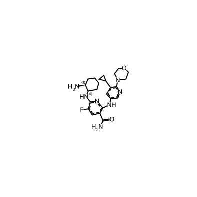 NC(=O)c1cc(F)c(N[C@@H]2CCCC[C@@H]2N)nc1Nc1cnc(N2CCOCC2)c(C2CC2)c1